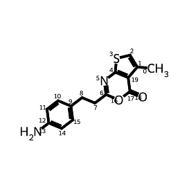 Cc1csc2nc(CCc3ccc(N)cc3)oc(=O)c12